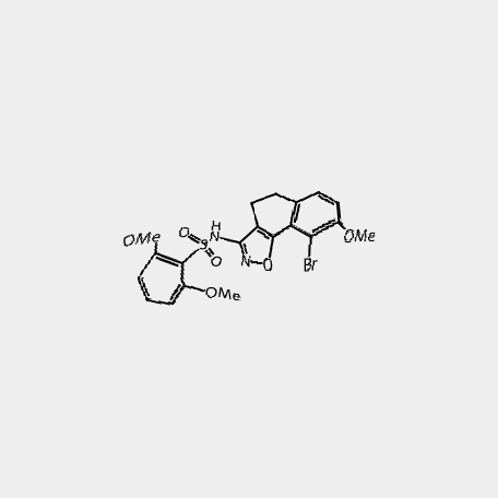 COc1ccc2c(c1Br)-c1onc(NS(=O)(=O)c3c(OC)cccc3OC)c1CC2